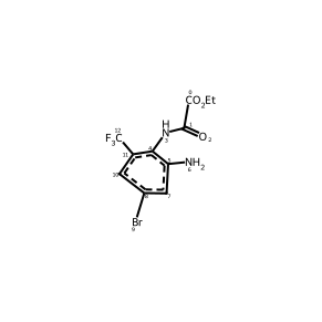 CCOC(=O)C(=O)Nc1c(N)cc(Br)cc1C(F)(F)F